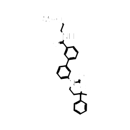 COCCNC(=O)c1cccc(-c2cccc(N3CCC(C)(c4ccccc4)OC3=O)c2)c1